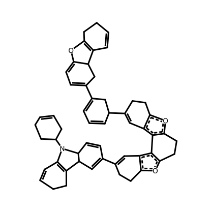 C1=CC(C2=Cc3c(oc4c3-c3c(oc5c3C=C(C3=CC6C7=C(C=CCC7)N(C7CC=CCC7)C6C=C3)CC5)CC4)CC2)CC(C2=CC=C3OC4=C(C=CCC4)C3C2)=C1